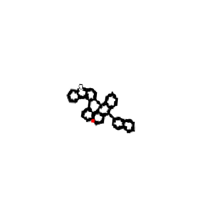 c1ccc(-c2c(-c3c4ccccc4c(-c4ccc5ccccc5c4)c4ccccc34)ccc3oc4ccccc4c23)cc1